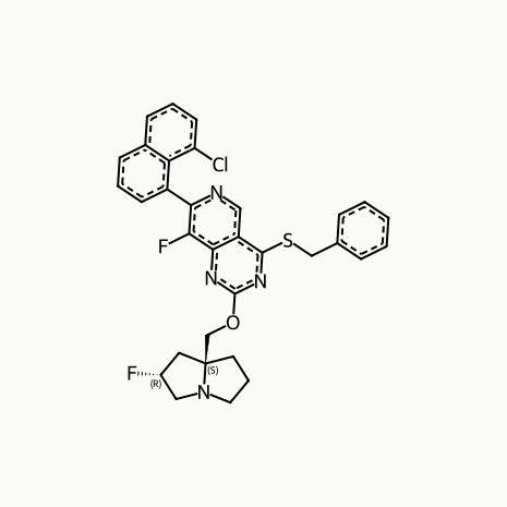 Fc1c(-c2cccc3cccc(Cl)c23)ncc2c(SCc3ccccc3)nc(OC[C@@]34CCCN3C[C@H](F)C4)nc12